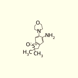 CC1(C)Cc2cc(N)c(N3CCOCC3)cc2[S+]1[O-]